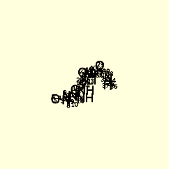 C=NN(CCOC)C(C)C(C)/N=C(\NC)C(=O)Nc1ccc(C(=O)N2CCN(C(=O)C3CCN(CC(F)F)CC3)CC2)c(Cl)c1